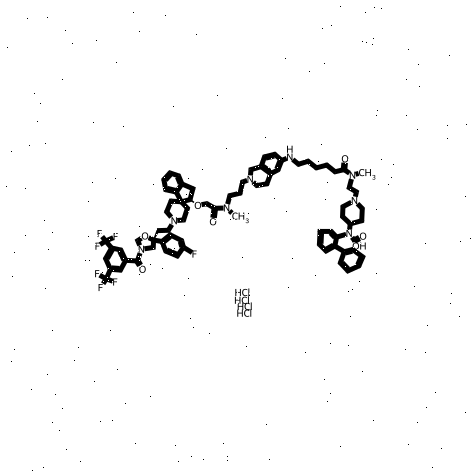 CN(CCN1CCC(N(C(=O)O)c2ccccc2-c2ccccc2)CC1)C(=O)CCCCCNc1ccc2c(c1)CCN(CCCN(C)C(=O)CO[C@H]1Cc3ccccc3C13CCN(CC[C@@]1(c4ccc(F)cc4)CN(C(=O)c4cc(C(F)(F)F)cc(C(F)(F)F)c4)CO1)CC3)C2.Cl.Cl.Cl.Cl